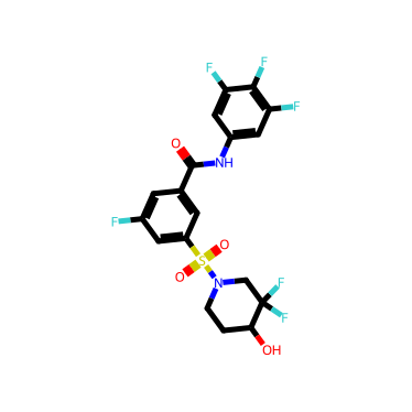 O=C(Nc1cc(F)c(F)c(F)c1)c1cc(F)cc(S(=O)(=O)N2CCC(O)C(F)(F)C2)c1